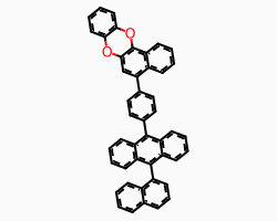 c1ccc2c(c1)Oc1cc(-c3ccc(-c4c5ccccc5c(-c5cccc6ccccc56)c5ccccc45)cc3)c3ccccc3c1O2